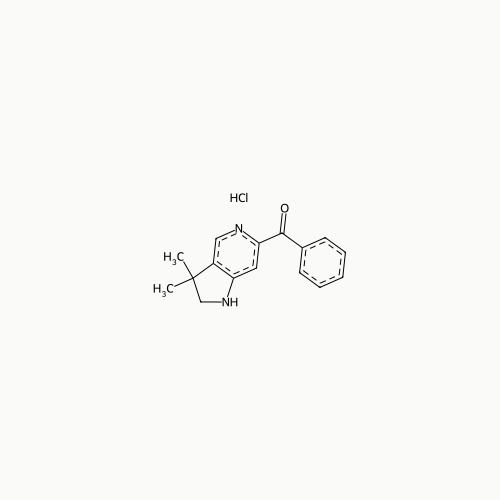 CC1(C)CNc2cc(C(=O)c3ccccc3)ncc21.Cl